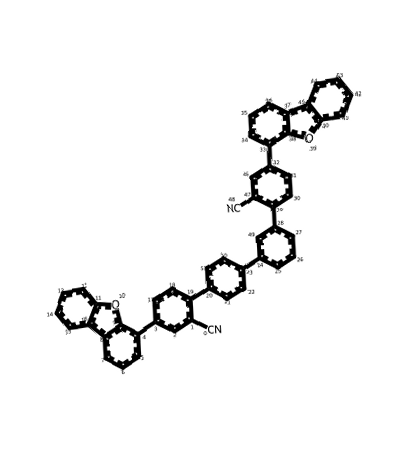 N#Cc1cc(-c2cccc3c2oc2ccccc23)ccc1-c1ccc(-c2cccc(-c3ccc(-c4cccc5c4oc4ccccc45)cc3C#N)c2)cc1